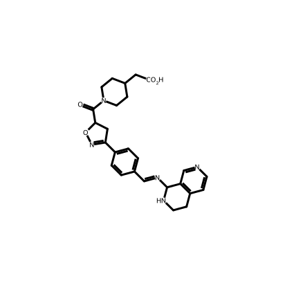 O=C(O)CC1CCN(C(=O)C2CC(c3ccc(C=NC4NCCc5ccncc54)cc3)=NO2)CC1